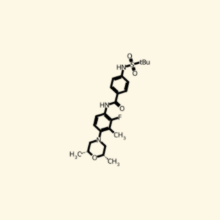 Cc1c(N2C[C@@H](C)O[C@@H](C)C2)ccc(NC(=O)c2ccc(NS(=O)(=O)C(C)(C)C)cc2)c1F